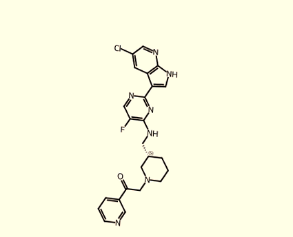 O=C(CN1CCC[C@@H](CNc2nc(-c3c[nH]c4ncc(Cl)cc34)ncc2F)C1)c1cccnc1